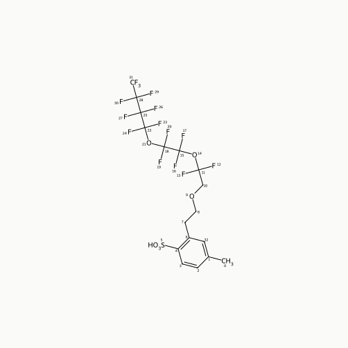 Cc1ccc(S(=O)(=O)O)c(CCOCC(F)(F)OC(F)(F)C(F)(F)OC(F)(F)C(F)(F)C(F)(F)C(F)(F)F)c1